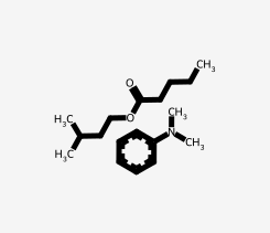 CCCCC(=O)OCCC(C)C.CN(C)c1ccccc1